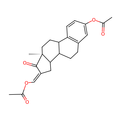 CC(=O)O/C=C1/CC2C3CCc4cc(OC(C)=O)ccc4C3CC[C@]2(C)C1=O